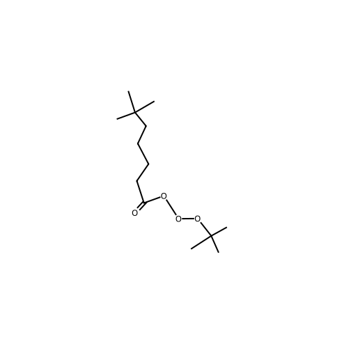 CC(C)(C)CCCCC(=O)OOOC(C)(C)C